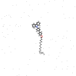 CCCCCCCCCCCCOc1ccc(-c2ccc(-n3c4ccccc4c4ccccc43)cc2)cc1